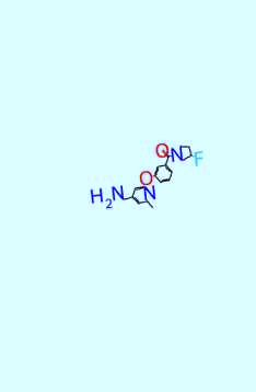 Cc1cc(CN)cc(Oc2cccc(C(=O)N3CC[C@@H](F)C3)c2)n1